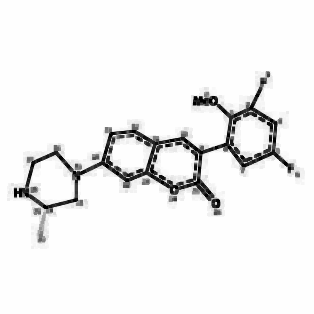 COc1c(F)cc(F)cc1-c1cc2ccc(N3CCN[C@@H](C)C3)cc2oc1=O